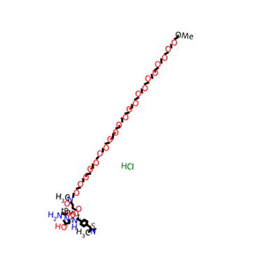 COCCOCCOCCOCCOCCOCCOCCOCCOCCOCCOCCOCCOCCOCCOCCOCCOCCOCCOCCOCCOCCOCCN(C)C(=O)CCC(=O)OC[C@H](NC(=O)[C@@H]1C[C@@H](O)CN1C(=O)[C@@H](N)C(C)(C)C)c1ccc(-c2scnc2C)cc1.Cl